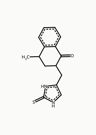 CC1CC(Cc2c[nH]c(=S)[nH]2)C(=O)c2ccccc21